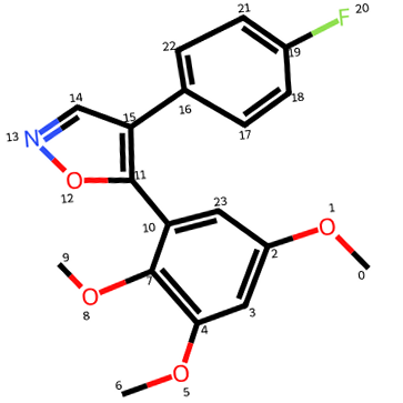 COc1cc(OC)c(OC)c(-c2oncc2-c2ccc(F)cc2)c1